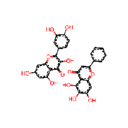 O=c1c(O)c(-c2ccc(O)c(O)c2)oc2cc(O)cc(O)c12.O=c1cc(-c2ccccc2)oc2cc(O)c(O)c(O)c12